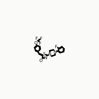 O=C1N=C(N2CCN(c3ccccc3F)CC2)SC1=Cc1ccc(OC(F)(F)F)cc1